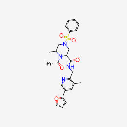 Cc1cc(-c2ccco2)cnc1CNC(=O)C1CN(S(=O)(=O)c2ccccc2)CC(C)N1C(=O)C(C)C